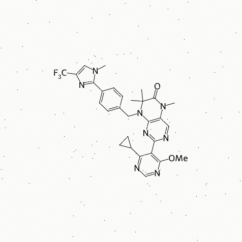 COc1ncnc(C2CC2)c1-c1ncc2c(n1)N(Cc1ccc(-c3nc(C(F)(F)F)cn3C)cc1)C(C)(C)C(=O)N2C